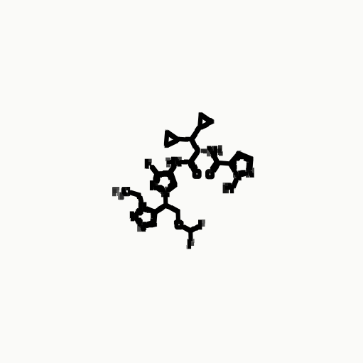 CC(C)n1nccc1C(=O)N[C@H](C(=O)Nc1cn(C(COC(F)F)c2cnnn2CC(F)(F)F)nc1F)C(C1CC1)C1CC1